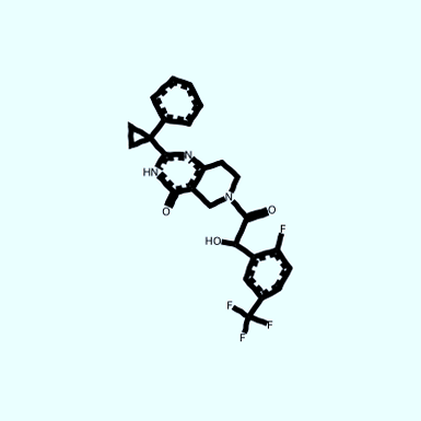 O=C(C(O)c1cc(C(F)(F)F)ccc1F)N1CCc2nc(C3(c4ccccc4)CC3)[nH]c(=O)c2C1